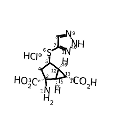 Cl.N[C@@]1(C(=O)O)C[C@@H](Sc2cn[nH]n2)[C@H]2[C@H](C(=O)O)[C@H]21